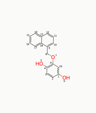 Oc1ccc(O)c(OCc2cccc3ccccc23)c1